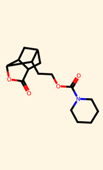 O=C1OC2C(CCOC(=O)N3CCCCC3)C3CC1C2C3